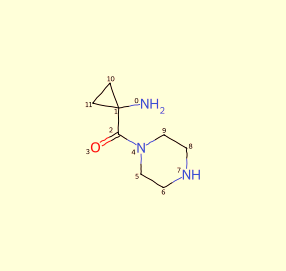 NC1(C(=O)N2CCNCC2)CC1